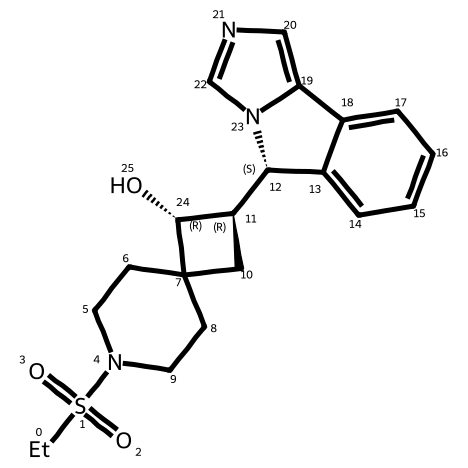 CCS(=O)(=O)N1CCC2(CC1)C[C@H]([C@H]1c3ccccc3-c3cncn31)[C@H]2O